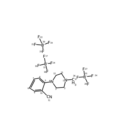 CN1CCN(c2ccccc2C#N)CC1.F[B-](F)(F)F.F[B-](F)(F)F.F[B-](F)(F)F